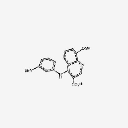 CCOC(=O)c1cnc2c(OC)cccc2c1Nc1cccc(SC)c1